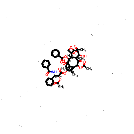 CC(=O)OC1C(=O)C2(C)C(O)CC3OC[C@@]3(OC(C)=O)[C@H]2[C@H](OC(=O)c2ccccc2)C2(O)C[C@H](OC(=O)[C@H](OC(C)=O)[C@@H](NC(=O)c3ccccc3)c3ccccc3)C(C)=C1C2(C)C